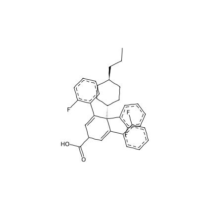 CCC[C@H]1CC[C@H](C2(c3ccccc3F)C(c3ccccc3F)=CC(C(=O)O)C=C2c2ccccc2F)CC1